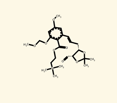 COCOc1cc(OC)cc(/C=C/C[C@@H]2OC(C)(C)O[C@@H]2C=O)c1C(=O)OCC[Si](C)(C)C